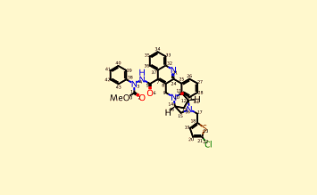 COC(=O)N(NC(=O)c1c(CN2C[C@H]3C[C@@H]2CN3Cc2ccc(Cl)s2)c(-c2ccccc2)nc2ccccc12)c1ccccc1